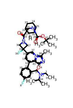 CCN(C(=O)c1cc(F)ccc1-c1cc(C2(F)CN(C(=O)[C@H]3C4CCC(CC4)N3C(=O)OC(C)(C)C)C2)cn2c(C)ncc12)C(C)C